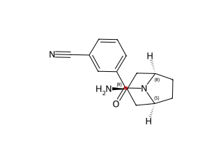 N#Cc1cccc(C(=O)N2[C@@H]3CC[C@H]2C[C@@H](N)C3)c1